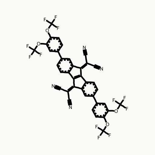 N#CC(C#N)=C1C2=C(C(=C(C#N)C#N)c3cc(-c4ccc(OC(F)(F)F)c(OC(F)(F)F)c4)ccc32)c2ccc(-c3ccc(OC(F)(F)F)c(OC(F)(F)F)c3)cc21